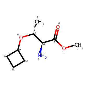 COC(=O)[C@@H](N)[C@@H](C)OC1CCC1